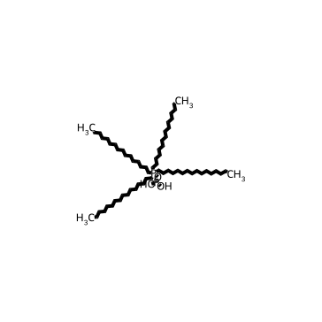 CCCCCCCCCCCCCCCCP(CCCCCCCCCCCCCCCC)(CCCCCCCCCCCCCCCC)(CCCCCCCCCCCCCCCC)OP(O)O